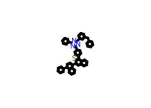 c1ccc(Cc2cccc(-c3nc(-c4ccccc4)nc(-c4ccc5c(c4)sc4c(-c6ccc(-c7ccccc7)c7ccccc67)cc6ccccc6c45)n3)c2)cc1